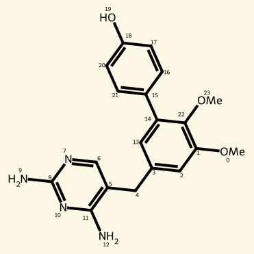 COc1cc(Cc2cnc(N)nc2N)cc(-c2ccc(O)cc2)c1OC